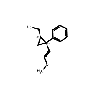 COC=C[C@@]1(c2ccccc2)C[C@H]1CO